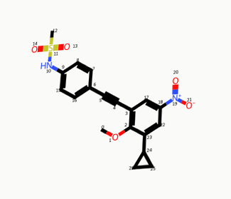 COc1c(C#Cc2ccc(NS(C)(=O)=O)cc2)cc([N+](=O)[O-])cc1C1CC1